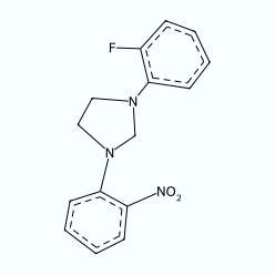 O=[N+]([O-])c1ccccc1N1CCN(c2ccccc2F)C1